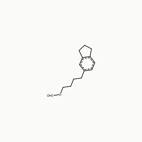 O=COCCCCc1ccc2c(c1)CCC2